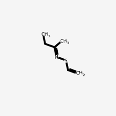 C=CS/N=C(\C)CC